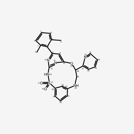 Cc1cccc(C)c1-c1cc2nc(n1)NS(=O)(=O)c1cccc(c1)NCC(c1ccccn1)O2